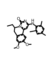 CCC1Cc2cc(OC)c(OC)cc2-c2cc(Nc3c(C)cc(C)cc3C)nc(=O)n21